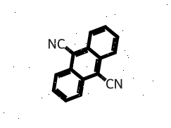 N#Cc1c2ccccc2c(C#N)c2ccccc12